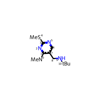 CNc1nc(SC)ncc1CNC(C)(C)C